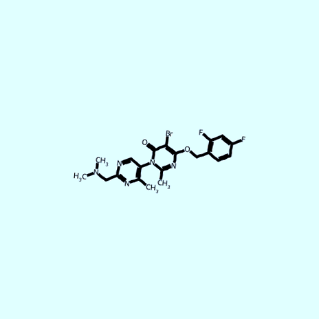 Cc1nc(CN(C)C)ncc1-n1c(C)nc(OCc2ccc(F)cc2F)c(Br)c1=O